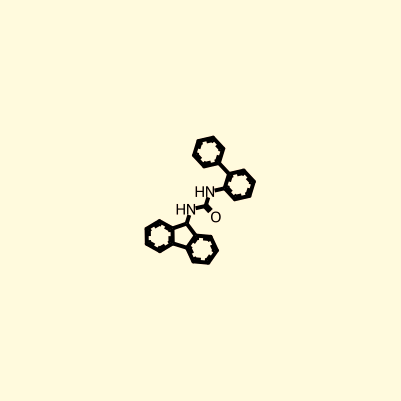 O=C(Nc1ccccc1-c1ccccc1)NC1c2ccccc2-c2ccccc21